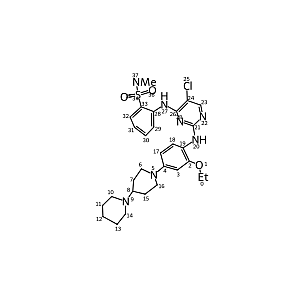 CCOc1cc(N2CCC(N3CCCCC3)CC2)ccc1Nc1ncc(Cl)c(Nc2ccccc2S(=O)(=O)NC)n1